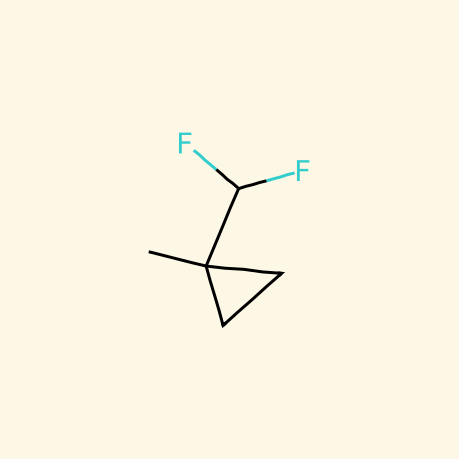 CC1(C(F)F)CC1